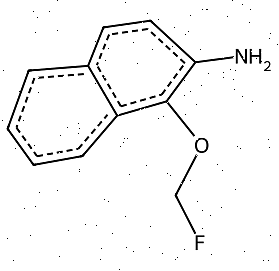 Nc1ccc2ccccc2c1OCF